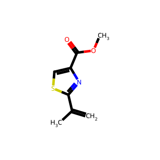 C=C(C)c1nc(C(=O)OC)cs1